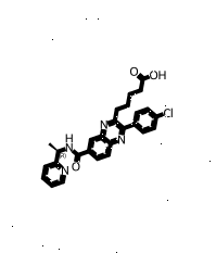 C[C@@H](NC(=O)c1ccc2nc(-c3ccc(Cl)cc3)c(CCCCC(=O)O)nc2c1)c1ccccn1